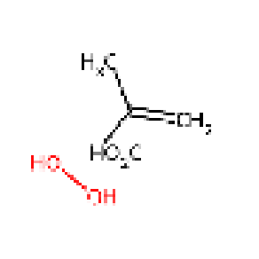 C=C(C)C(=O)O.OO